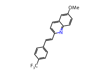 COc1ccc2nc(C=Cc3ccc(C(F)(F)F)cc3)ccc2c1